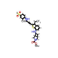 COc1cc(S(C)(=O)=O)ccc1NCC#Cc1sc2c(NC3CC4CN(C(=O)OC(C)(C)C)CC43)cccc2c1CC(F)(F)F